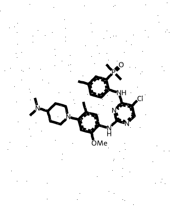 COc1cc(N2CCC(N(C)C)CC2)c(C)cc1Nc1ncc(Cl)c(Nc2ccc(C)cc2P(C)(C)=O)n1